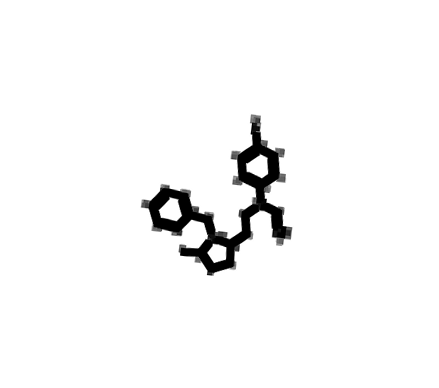 CC1CCC(CCN(C=N)c2ccc(F)cc2)N1Cc1ccccc1